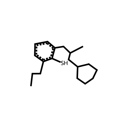 CCCc1cccc(CC(C)CC2CCCCC2)c1S